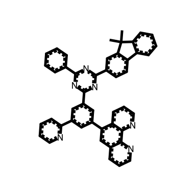 CC1(C)c2ccccc2-c2ccc(-c3nc(-c4ccccc4)nc(-c4cc(-c5ccccn5)cc(-c5cc6cccnc6c6ncccc56)c4)n3)cc21